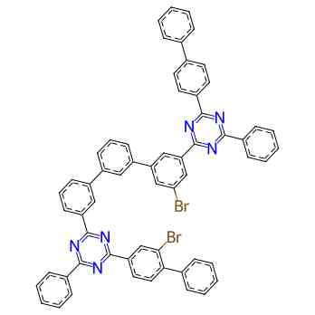 Brc1cc(-c2cccc(-c3cccc(-c4nc(-c5ccccc5)nc(-c5ccc(-c6ccccc6)c(Br)c5)n4)c3)c2)cc(-c2nc(-c3ccccc3)nc(-c3ccc(-c4ccccc4)cc3)n2)c1